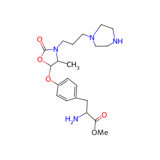 COC(=O)C(N)Cc1ccc(OC2OC(=O)N(CCCN3CCNCC3)C2C)cc1